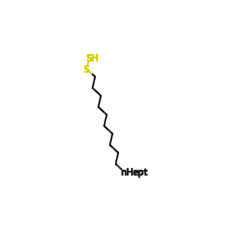 CCCCCCCCCCCCCCCCCSS